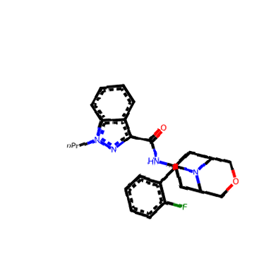 CCCn1nc(C(=O)NC2CC3COCC(C2)N3Cc2ccccc2F)c2ccccc21